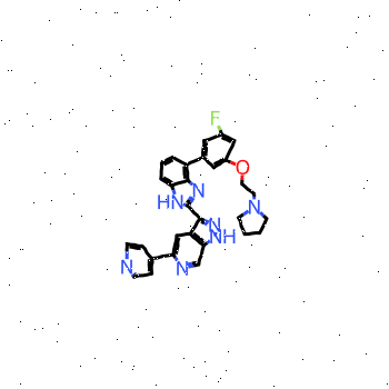 Fc1cc(OCCN2CCCC2)cc(-c2cccc3[nH]c(-c4n[nH]c5cnc(-c6ccncc6)cc45)nc23)c1